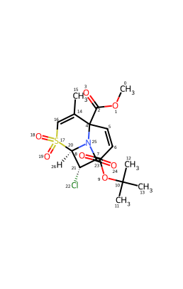 COC(=O)C1(/C=C\C(=O)OC(C)(C)C)C(C)=CS(=O)(=O)[C@@H]2[C@@H](Cl)C(=O)N21